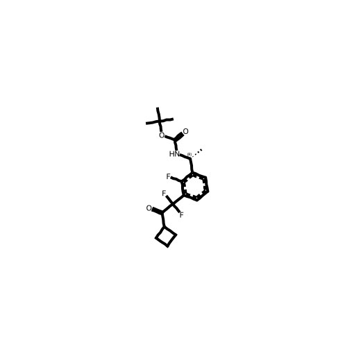 C[C@@H](NC(=O)OC(C)(C)C)c1cccc(C(F)(F)C(=O)C2CCC2)c1F